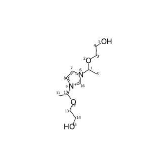 CC(OCCO)n1cc[n+](C(C)OCCO)c1